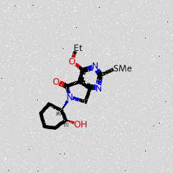 CCOc1nc(SC)nc2c1C(=O)N([C@@H]1CCCC[C@@H]1O)C2